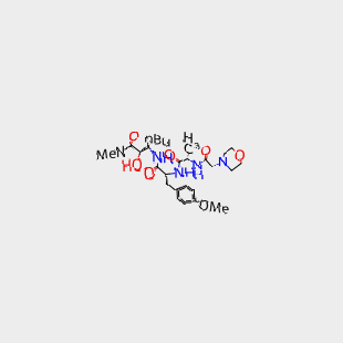 CCCCC(NC(=O)[C@H](Cc1ccc(OC)cc1)NC(=O)[C@H](C)NC(=O)CN1CCOCC1)C(O)C(=O)NC